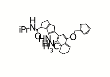 CC(C)NC(=O)C1CCC2=C1C1=C(C2)C2=C(NN1)C1(C)CCCC=C1C(OCc1ccccc1)=C2